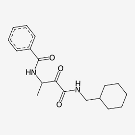 CC(NC(=O)c1ccccc1)C(=O)C(=O)NCC1CCCCC1